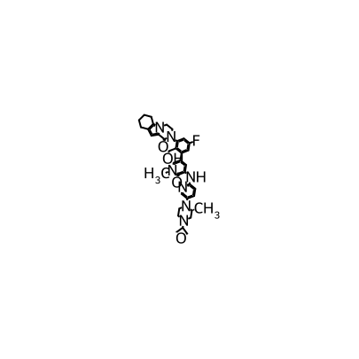 C[C@H]1CN(C2COC2)CCN1c1ccc(Nc2cc(-c3cc(F)cc(N4CCn5c(cc6c5CCCC6)C4=O)c3CO)cn(C)c2=O)nc1